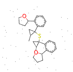 CC1CC1(SC1(c2ccccc2C2CCCO2)CC1C)c1ccccc1C1CCCO1